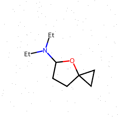 CCN(CC)C1CCC2(CC2)O1